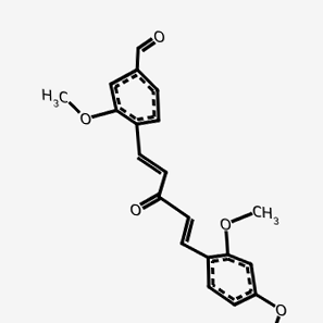 COc1ccc(/C=C/C(=O)/C=C/c2ccc(C=O)cc2OC)c(OC)c1